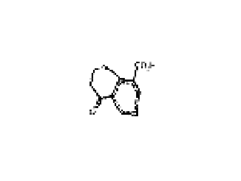 O=C(O)c1cccc2c1SCCC2=O